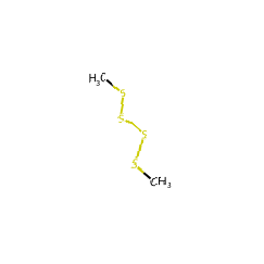 CSSSSC